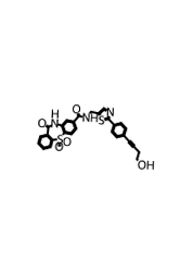 O=C(NCc1cnc(-c2ccc(C#CCCO)cc2)s1)c1ccc2c(c1)NC(=O)c1ccccc1S2(=O)=O